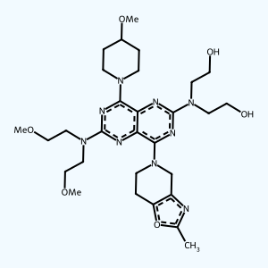 COCCN(CCOC)c1nc(N2CCC(OC)CC2)c2nc(N(CCO)CCO)nc(N3CCc4oc(C)nc4C3)c2n1